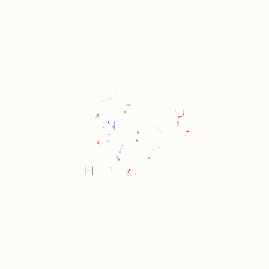 C=C1C=CC=CN1C(=O)/C(=C(\C)O)c1ccc(C(=O)O)cc1